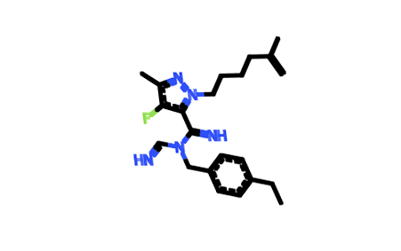 C=C(C)CCCCn1nc(C)c(F)c1C(=N)N(C=N)Cc1ccc(CC)cc1